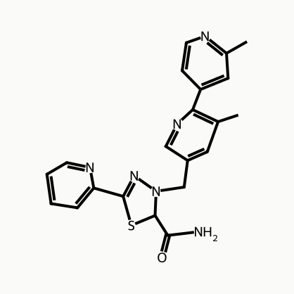 Cc1cc(-c2ncc(CN3N=C(c4ccccn4)SC3C(N)=O)cc2C)ccn1